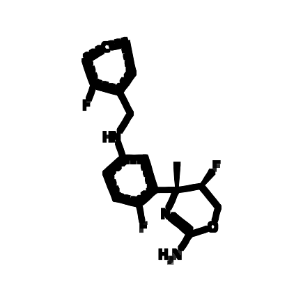 C[C@]1(c2cc(NCc3ccccc3F)ccc2F)N=C(N)OC[C@@H]1F